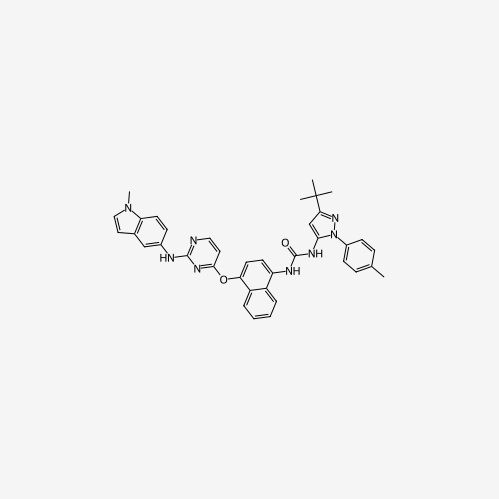 Cc1ccc(-n2nc(C(C)(C)C)cc2NC(=O)Nc2ccc(Oc3ccnc(Nc4ccc5c(ccn5C)c4)n3)c3ccccc23)cc1